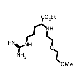 CCOC(=O)[C@H](CCCNC(=N)N)NCCOCCOC